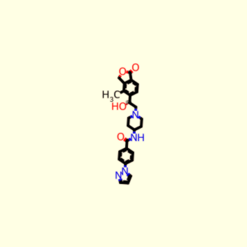 Cc1c([C@@H](O)CN2CCC(NC(=O)c3ccc(-n4cccn4)cc3)CC2)ccc2c1COC2=O